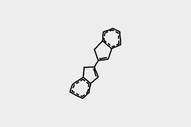 C1=C(C2=Cc3ccccc3C2)Cc2ccccc21